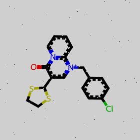 O=c1c(C2SCCS2)c[n+](Cc2ccc(Cl)cc2)c2ccccn12